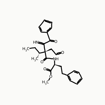 CC[C@@H](C)[C@](CC=O)(C(=N)C(=O)c1ccccc1)C(=O)N[C@@H](CCc1ccccc1)C(=O)OC